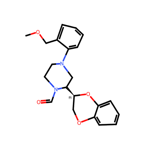 COCc1ccccc1N1CCN(C=O)C([C@@H]2COc3ccccc3O2)C1